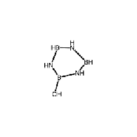 OB1NBNBN1